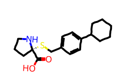 O=C(O)[C@@]1(SCc2ccc(C3CCCCC3)cc2)CCCN1